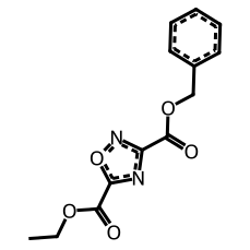 CCOC(=O)c1nc(C(=O)OCc2ccccc2)no1